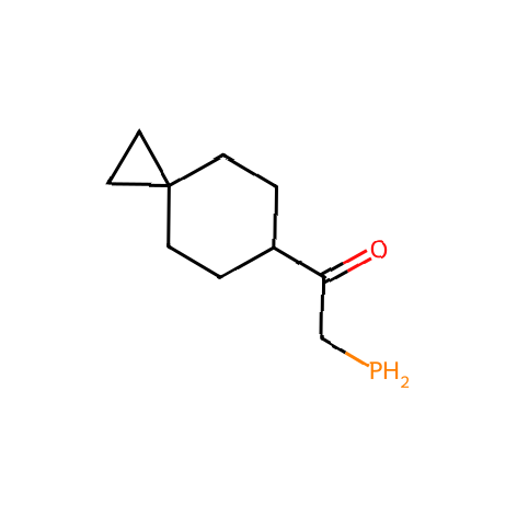 O=C(CP)C1CCC2(CC1)CC2